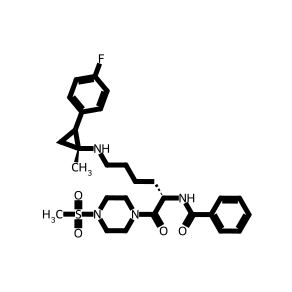 C[C@@]1(NCCCC[C@H](NC(=O)c2ccccc2)C(=O)N2CCN(S(C)(=O)=O)CC2)CC1c1ccc(F)cc1